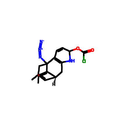 C/C=C1\[C@@H]2C=C(C)CC1(N=[N+]=[N-])C1=C(C2)NC(OC(=O)Cl)C=C1